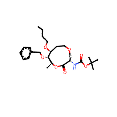 CCCCO[C@H]1CCOC[C@H](NC(=O)OC(C)(C)C)C(=O)O[C@@H](C)[C@@H]1OCc1ccccc1